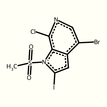 CS(=O)(=O)n1c(I)cc2c(Br)cnc(Cl)c21